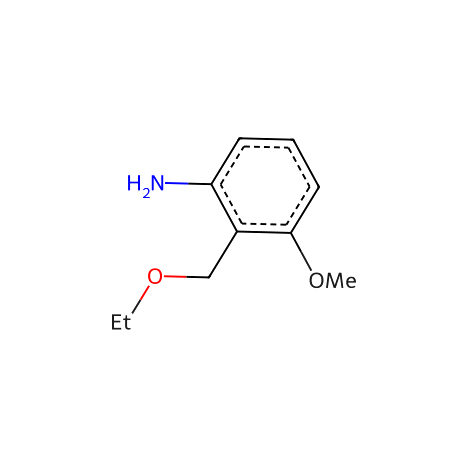 CCOCc1c(N)cccc1OC